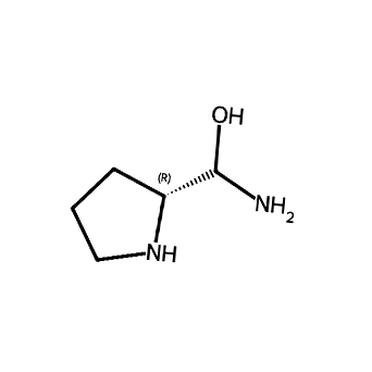 NC(O)[C@H]1CCCN1